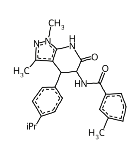 Cc1cccc(C(=O)NC2C(=O)Nc3c(c(C)nn3C)C2c2ccc(C(C)C)cc2)c1